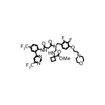 COC(=O)C1(NCN(Cc2ccc(OCCN3CCOCC3)c(F)c2F)C(=O)CC(=O)Nc2ccc(C(F)(F)F)cc2-c2cc(C(F)(F)F)ncn2)CCC1